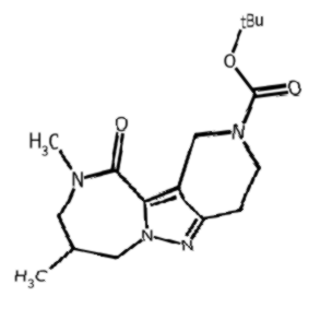 CC1CN(C)C(=O)c2c3c(nn2C1)CCN(C(=O)OC(C)(C)C)C3